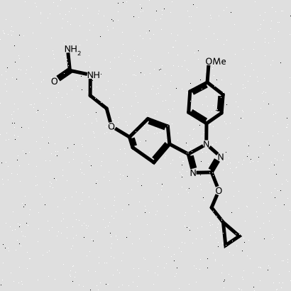 COc1ccc(-n2nc(OCC3CC3)nc2-c2ccc(OCCNC(N)=O)cc2)cc1